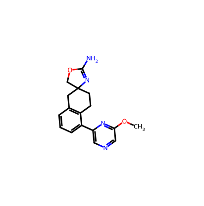 COc1cncc(-c2cccc3c2CCC2(COC(N)=N2)C3)n1